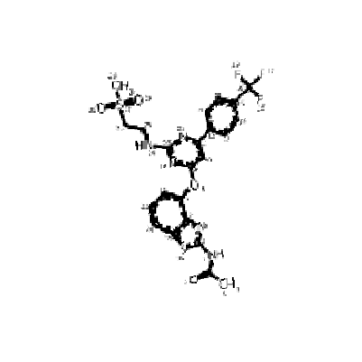 CC(=O)Nc1nc2c(Oc3cc(-c4ccc(C(F)(F)F)cc4)nc(NCCS(C)(=O)=O)n3)cccc2s1